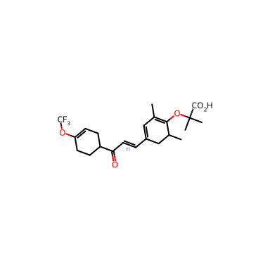 CC1=C(OC(C)(C)C(=O)O)C(C)CC(/C=C/C(=O)C2CC=C(OC(F)(F)F)CC2)=C1